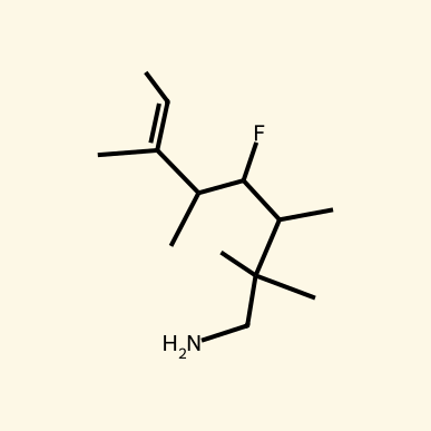 C/C=C(\C)C(C)C(F)C(C)C(C)(C)CN